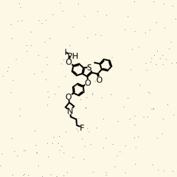 Cc1ccccc1C(=O)c1sc2cc(OPI)ccc2c1Oc1ccc(OC2CN(CCCF)C2)cc1